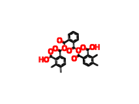 Cc1ccc(C(=O)OC(=O)c2ccccc2C(=O)OC(=O)c2ccc(C)c(C)c2C(=O)O)c(C(=O)O)c1C